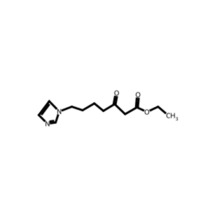 CCOC(=O)CC(=O)CCCCn1ccnc1